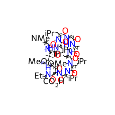 C/C=C/C[C@H](C)[C@@H]1ON(C(=O)[C@@H](C(C)C)N(C)C(=O)[C@H](CC(C)C)N(C)C(=O)[C@@H](CC(C)C)N(C)C(=O)[C@H](C)NC(=O)[C@@H](C)NC(=O)[C@H](CC(C)C)N(C)C(=O)[C@H](NC(=O)[C@H](N(C)C(=O)[C@@H](C)NC)C(C)(C)C(OC)OC)C(C)C)[C@H]1C(=O)N[C@H](CC)C(=O)O